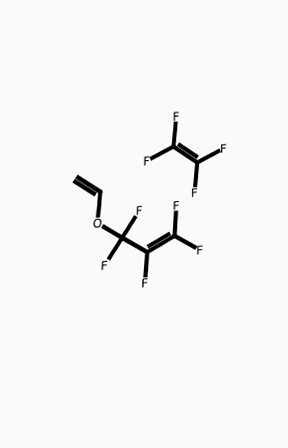 C=COC(F)(F)C(F)=C(F)F.FC(F)=C(F)F